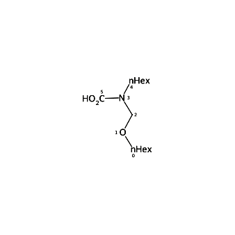 CCCCCCOCN(CCCCCC)C(=O)O